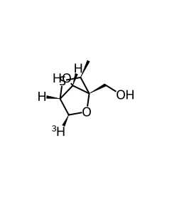 [3H][C@@H]1O[C@@]2(CO)[C@H](C)S[C@@H]1[C@@H]2O